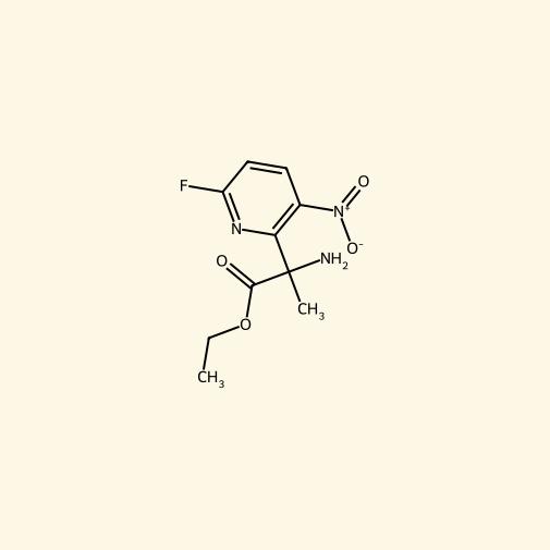 CCOC(=O)C(C)(N)c1nc(F)ccc1[N+](=O)[O-]